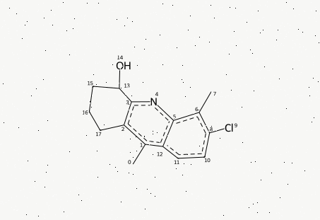 Cc1c2c(nc3c(C)c(Cl)ccc13)C(O)CCC2